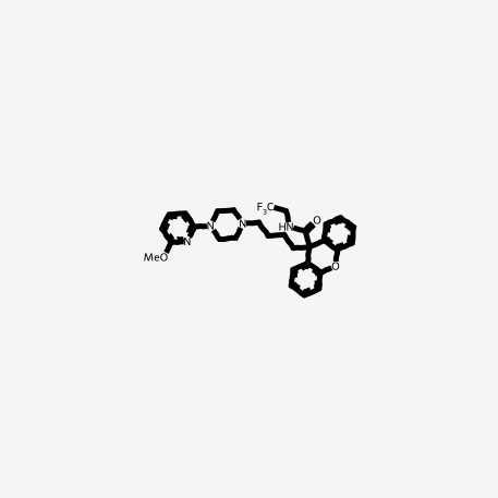 COc1cccc(N2CCN(CCCCC3(C(=O)NCC(F)(F)F)c4ccccc4Oc4ccccc43)CC2)n1